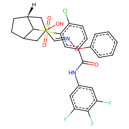 O=C(Nc1cc(F)c(F)c(F)c1)c1ccc(Cl)c(S(=O)(=O)C2C3CC[C@@H]2CC(O)(/C=N/Oc2ccccc2)C3)c1